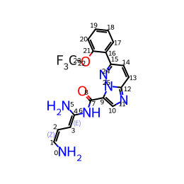 N/C=C\C=C(/N)NC(=O)c1cnc2ccc(-c3ccccc3OC(F)(F)F)nn12